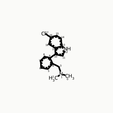 CN(C)Cc1ccccc1-c1c[nH]c2ccc(Cl)cc12